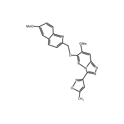 COc1ccc2nc(COc3nn4c(-c5cc(C)on5)nnc4cc3OC)ccc2c1